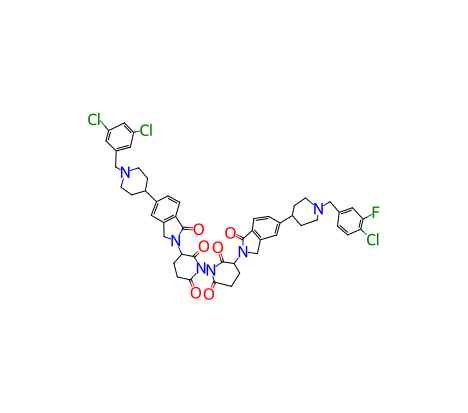 O=C1c2ccc(C3CCN(Cc4cc(Cl)cc(Cl)c4)CC3)cc2CN1C1CCC(=O)N(N2C(=O)CCC(N3Cc4cc(C5CCN(Cc6ccc(Cl)c(F)c6)CC5)ccc4C3=O)C2=O)C1=O